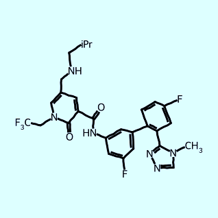 CC(C)CNCc1cc(C(=O)Nc2cc(F)cc(-c3ccc(F)cc3-c3nncn3C)c2)c(=O)n(CC(F)(F)F)c1